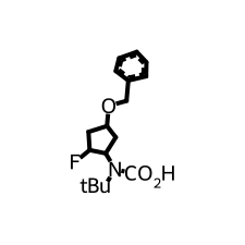 CC(C)(C)N(C(=O)O)C1CC(OCc2ccccc2)CC1F